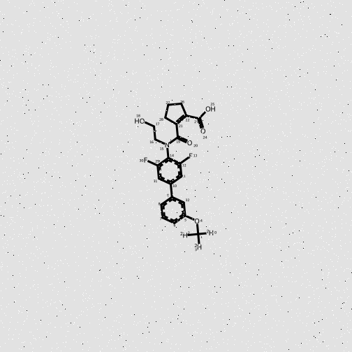 [2H]C([2H])([2H])Oc1cccc(-c2cc(F)c(N(CCO)C(=O)C3=C(C(=O)O)CCC3)c(F)c2)c1